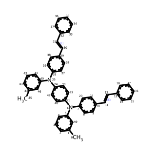 Cc1cccc(N(c2ccc(/C=C/c3ccccc3)cc2)c2ccc(N(c3ccc(/C=C/c4ccccc4)cc3)c3cccc(C)c3)cc2)c1